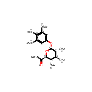 COC(=O)[C@H]1O[C@@H](Oc2cc(OC)c(C=O)c(OC)c2)[C@H](OC(C)=O)[C@@H](OC(C)=O)[C@@H]1OC(C)=O